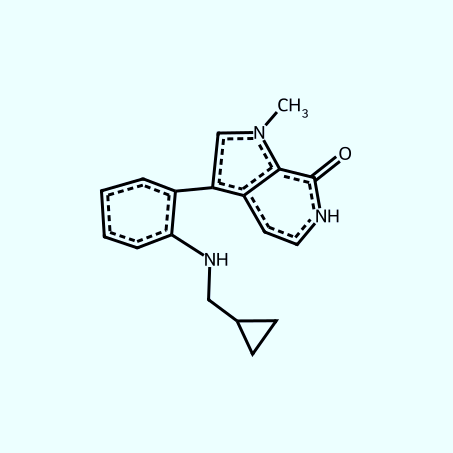 Cn1cc(-c2ccccc2NCC2CC2)c2cc[nH]c(=O)c21